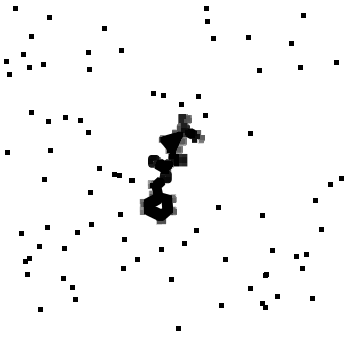 O=C(N[C@H]1C[C@@H]1B(F)F)OCc1ccccc1